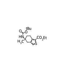 CCOC(=O)c1scc2c1CCC(C)(NC(=O)OC(C)(C)C)C2